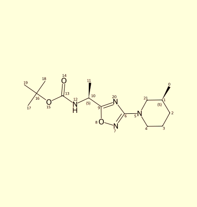 C[C@H]1CCCN(c2noc([C@H](C)NC(=O)OC(C)(C)C)n2)C1